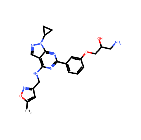 Cc1cc(CNc2nc(-c3cccc(OCC(O)CN)c3)nc3c2cnn3C2CC2)no1